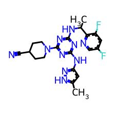 Cc1cc(Nc2nc(NC(C)c3ncc(F)cc3F)nc(N3CCC(C#N)CC3)n2)n[nH]1